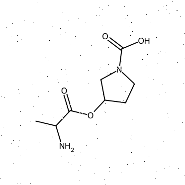 CC(N)C(=O)OC1CCN(C(=O)O)C1